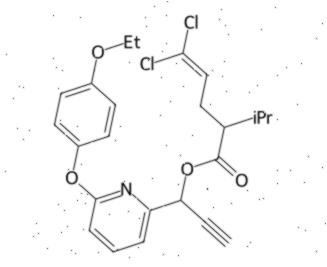 C#CC(OC(=O)C(CC=C(Cl)Cl)C(C)C)c1cccc(Oc2ccc(OCC)cc2)n1